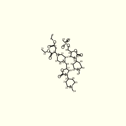 CCOC(=O)CC(C(=O)OCC)N1CCN(CC2CN(C3CCN(C)CC3)C(=O)O2)CC1.CN1CCC(N2CC(COS(C)(=O)=O)OC2=O)CC1